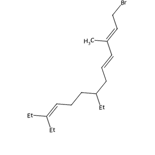 CCC(=CCCC(CC)C/C=C/C(C)=C/CBr)CC